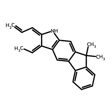 C=C/C=c1/[nH]c2cc3c(cc2/c1=C/C)-c1ccccc1C3(C)C